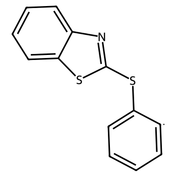 [c]1ccccc1Sc1nc2ccccc2s1